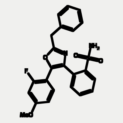 COc1ccc(-c2oc(Cc3ccccc3)nc2-c2ccccc2S(N)(=O)=O)c(F)c1